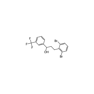 OC(CCc1c(Br)cccc1Br)c1cccc(C(F)(F)F)c1